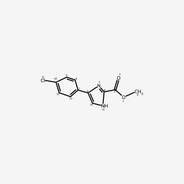 COC(=O)c1nc(-c2ccc(Cl)cc2)c[nH]1